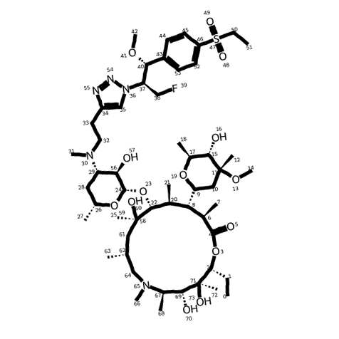 CC[C@H]1OC(=O)[C@H](C)[C@@H](C2C[C@@](C)(OC)[C@@H](O)[C@H](C)O2)[C@H](C)[C@@H](O[C@@H]2O[C@H](C)C[C@H](N(C)CCc3cn([C@H](CF)[C@H](OC)c4ccc(S(=O)(=O)CC)cc4)nn3)[C@H]2O)[C@](C)(O)C[C@@H](C)CN(C)[C@H](C)[C@@H](O)[C@]1(C)O